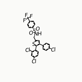 O=S(=O)(NCc1cc(-c2ccc(Cl)cc2)c(-c2ccc(Cl)cc2Cl)s1)c1ccc(C(F)(F)F)cc1